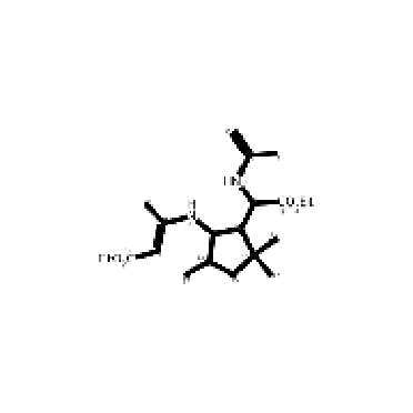 C=C(C)NC(C(=O)OCC)C1C(NC(C)=CC(=O)OCC)C(C)CC1(C)C